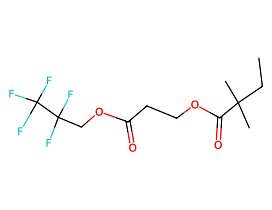 CCC(C)(C)C(=O)OCCC(=O)OCC(F)(F)C(F)(F)F